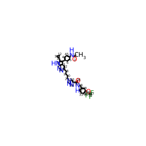 CC(=O)Nc1ccc(-c2c(C3CC3)[nH]c3nnc(CCCCn4cc(C(=O)NCc5cccc(OC(F)(F)F)c5)nn4)cc23)cc1